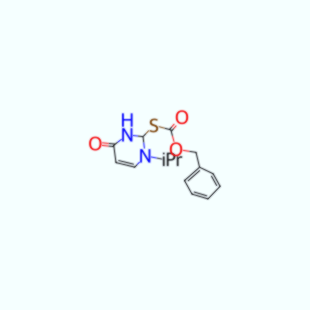 CC(C)N1C=CC(=O)NC1SC(=O)OCc1ccccc1